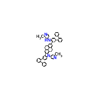 CC1=NC=CC(NC2=C(c3cc4c5c(c3)CCc3c-5c(cc5c6cc(-c7ccccc7-c7ccccc7)ccc6n(-c6ccnc(C)c6)c35)CC4)CC(c3ccccc3-c3ccccc3)C=C2)C1